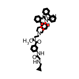 CN(CCN1CCC(OC(=O)N(c2ccccc2-c2ccccc2)N(C(=O)O)c2ccccc2-c2ccccc2)CC1)C(=O)c1cccc(NC(=O)CNCC2CC2)c1